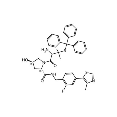 Cc1ncsc1-c1ccc(CNC(=O)[C@@H]2C[C@@H](O)CN2C(=O)C(N)C(C)(C)SC(c2ccccc2)(c2ccccc2)c2ccccc2)c(F)c1